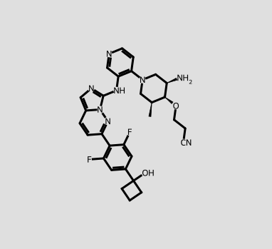 C[C@H]1CN(c2ccncc2Nc2ncc3ccc(-c4c(F)cc(C5(O)CCC5)cc4F)nn23)C[C@@H](N)[C@H]1OCCC#N